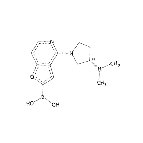 CN(C)[C@H]1CCN(c2nccc3oc(B(O)O)cc23)C1